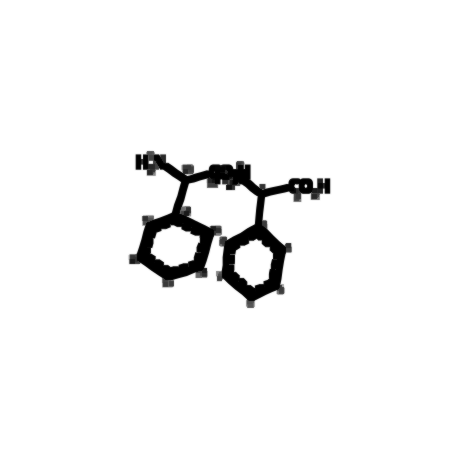 NC(C(=O)O)c1ccccc1.NC(C(=O)O)c1ccccc1